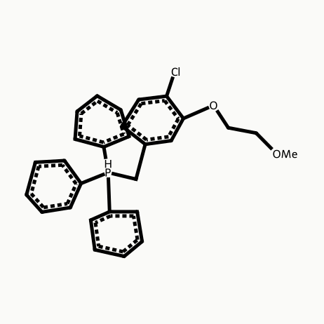 COCCOc1cc(C[PH](c2ccccc2)(c2ccccc2)c2ccccc2)ccc1Cl